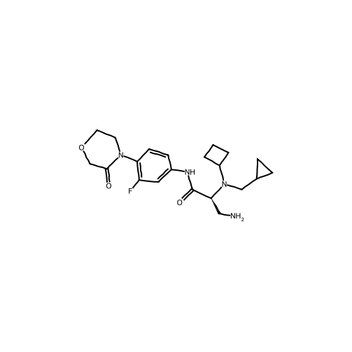 NC[C@@H](C(=O)Nc1ccc(N2CCOCC2=O)c(F)c1)N(CC1CC1)C1CCC1